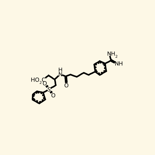 N=C(N)c1ccc(CCCCC(=O)NC(CC(=O)O)CS(=O)(=O)c2ccccc2)cc1